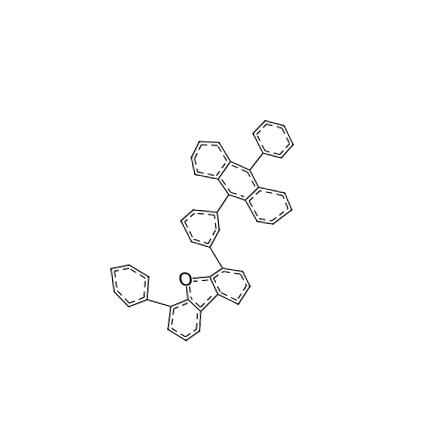 c1ccc(-c2c3ccccc3c(-c3cccc(-c4cccc5c4oc4c(-c6ccccc6)cccc45)c3)c3ccccc23)cc1